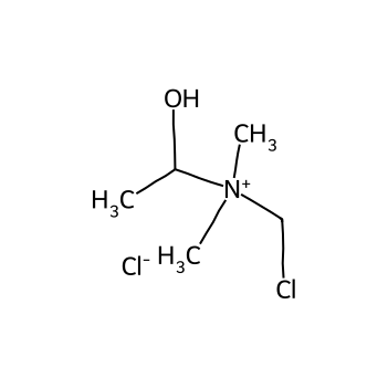 CC(O)[N+](C)(C)CCl.[Cl-]